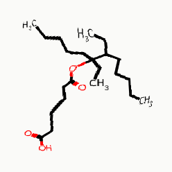 CCCCCC(CC)C(CC)(CCCCC)OC(=O)CCCCC(=O)O